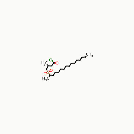 CCCCCCCCCCCCCCC(C)S(=O)(=O)CC(C)CC(=O)Cl